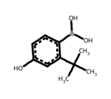 CC(C)(C)c1cc(O)ccc1B(O)O